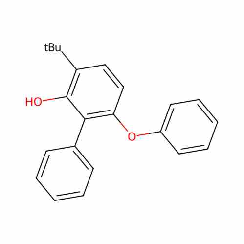 CC(C)(C)c1ccc(Oc2ccccc2)c(-c2ccccc2)c1O